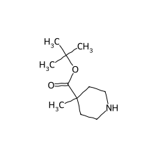 CC(C)(C)OC(=O)C1(C)CCNCC1